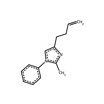 C=CCCc1cn(-c2ccccc2)c(C)n1